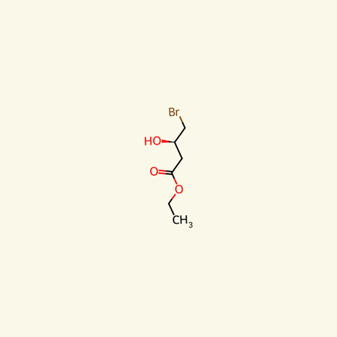 CCOC(=O)C[C@@H](O)CBr